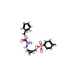 Cc1ccc(S(=O)(=O)OCC2C[C@@H]2CNC(=O)OCc2ccccc2)cc1